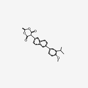 C=C1OC(=O)C(c2ccc3cc(-c4ccc(OC)c(C(C)C)c4)ccc3c2)C(=O)O1